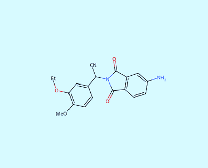 CCOc1cc(C(C#N)N2C(=O)c3ccc(N)cc3C2=O)ccc1OC